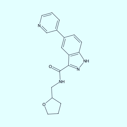 O=C(NCC1CCCO1)c1n[nH]c2ccc(-c3cccnc3)cc12